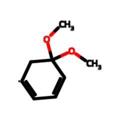 COC1(OC)C=CC=[C]C1